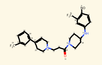 O=Nc1ccc(NC2CCN(C(=O)CCN3CC=C(c4cccc(C(F)(F)F)c4)CC3)CC2)cc1C(F)(F)F